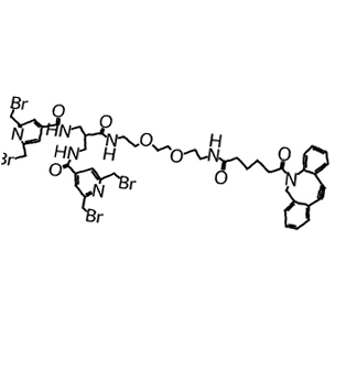 O=C(CCCCC(=O)N1Cc2ccccc2C#Cc2ccccc21)NCCOCCOCCNC(=O)C(CNC(=O)c1cc(CBr)nc(CBr)c1)CNC(=O)c1cc(CBr)nc(CBr)c1